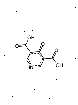 O=C(O)c1c[nH]cc(C(=O)O)c1=O